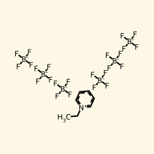 CC[n+]1ccccc1.F[B-](F)(F)F.F[B-](F)(F)F.F[B-](F)(F)F.F[B-](F)(F)F.F[B-](F)(F)F.F[B-](F)(F)F